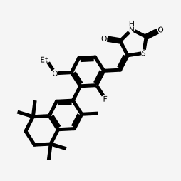 CCOc1ccc(C=C2SC(=O)NC2=O)c(F)c1-c1cc2c(cc1C)C(C)(C)CCC2(C)C